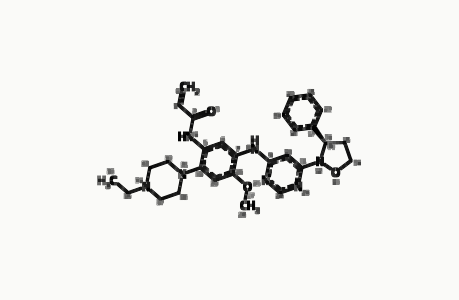 C=CC(=O)Nc1cc(Nc2cc(N3OCC[C@@H]3c3ccccc3)ncn2)c(OC)cc1N1CCN(CC)CC1